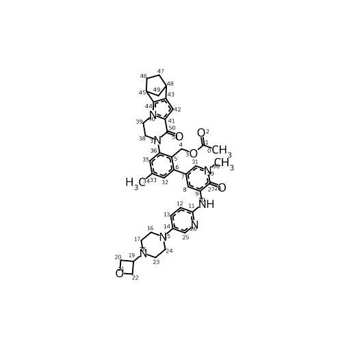 CC(=O)OCc1c(-c2cc(Nc3ccc(N4CCN(C5COC5)CC4)cn3)c(=O)n(C)c2)cc(C)cc1N1CCn2c(cc3c2C2CCC3C2)C1=O